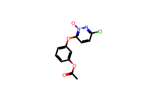 CC(=O)Oc1cccc(Oc2ccc(Cl)n[n+]2[O-])c1